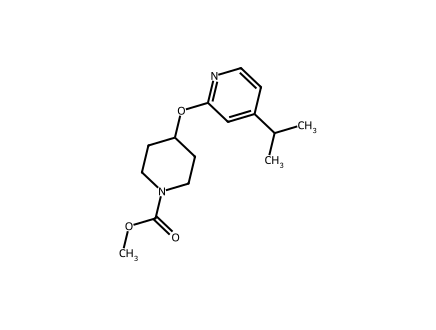 COC(=O)N1CCC(Oc2cc(C(C)C)ccn2)CC1